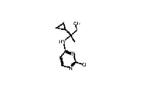 CC(CO)(Nc1ccnc(Cl)n1)C1CC1